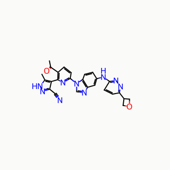 CC(=O)c1ccc(-n2cnc3cc(Nc4ccc(C5COC5)nn4)ccc32)nc1-c1c(C#N)n[nH]c1C